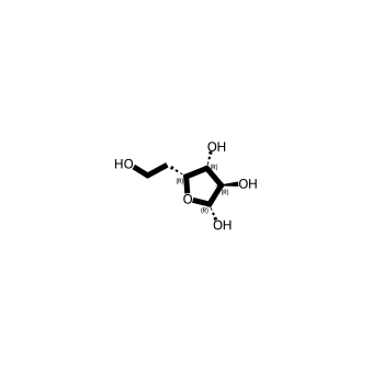 OCC[C@H]1O[C@@H](O)[C@H](O)[C@H]1O